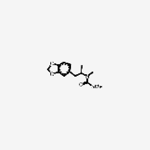 CSC(=O)N(C)[C@H](C)Cc1ccc2c(c1)OCO2